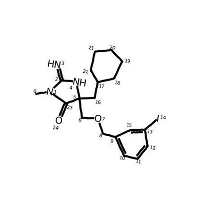 CN1C(=N)NC(COCc2cccc(I)c2)(CC2CCCCC2)C1=O